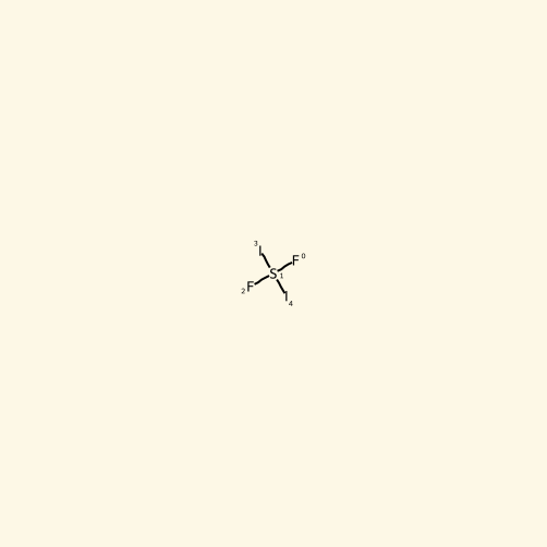 FS(F)(I)I